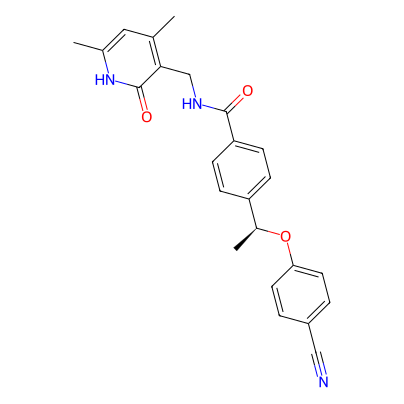 Cc1cc(C)c(CNC(=O)c2ccc([C@H](C)Oc3ccc(C#N)cc3)cc2)c(=O)[nH]1